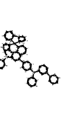 c1ccc(-c2cccc(N(c3ccccc3)c3ccc(-c4cc5c6c7c(cccc47)C4(c7ccccc7-c7ccccc74)c4cccc(c46)n5-c4ccccc4)cc3)c2)cc1